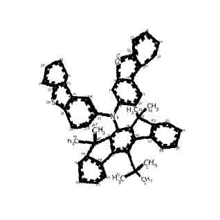 CC(C)(C)c1c2c(c(N(c3ccc4c(c3)oc3ccccc34)c3ccc4sc5ccccc5c4c3)c3c1-c1ccccc1C3(C)C)C(C)(C)c1ccccc1-2